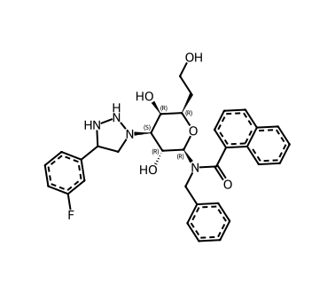 O=C(c1cccc2ccccc12)N(Cc1ccccc1)[C@@H]1O[C@H](CCO)[C@H](O)[C@H](N2CC(c3cccc(F)c3)NN2)[C@H]1O